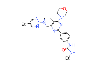 CCNC(=O)Nc1ccc(-c2nc3c(c(N4CCOCC4)n2)CCN(c2ncc(CC)cn2)C3)cc1